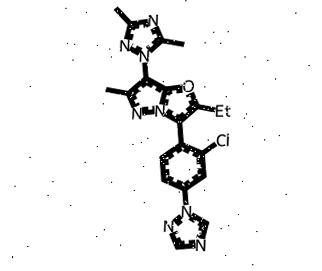 CCc1oc2c(-n3nc(C)nc3C)c(C)nn2c1-c1ccc(-n2cncn2)cc1Cl